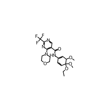 CCOC1(OC)C=CC(NC(=O)c2cnc(C(F)(F)F)nc2N2CCOCC2)=CC1OC